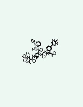 COC(=O)N[C@H](C(=O)N(C)C12CC1N(C(=O)Cn1nc(C(C)=O)c3cc(-c4cnc(C)nc4)ccc31)[C@H](C(=O)Nc1cccc(Br)n1)C2)C(C)C